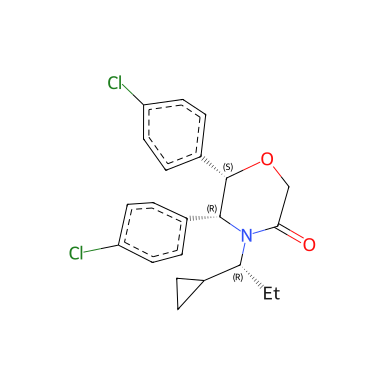 CC[C@H](C1CC1)N1C(=O)CO[C@@H](c2ccc(Cl)cc2)[C@H]1c1ccc(Cl)cc1